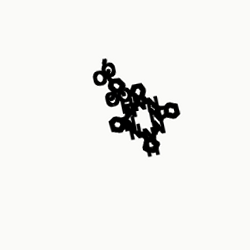 CCOC(=O)c1ccc(Oc2cccc3c4nc5nc(nc6[nH]c(nc7nc(nc([nH]4)c23)-c2ccccc2-7)c2ccccc62)-c2ccccc2-5)c(OC)c1